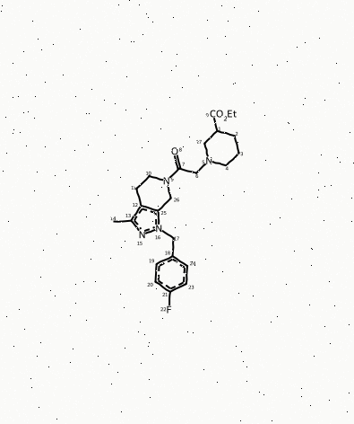 CCOC(=O)C1CCCN(CC(=O)N2CCc3c(C)nn(Cc4ccc(F)cc4)c3C2)C1